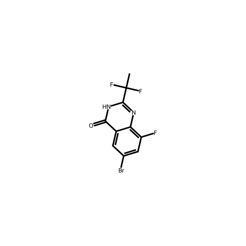 CC(F)(F)c1nc2c(F)cc(Br)cc2c(=O)[nH]1